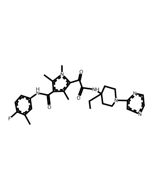 CCC1(NC(=O)C(=O)c2c(C)c(C(=O)Nc3ccc(F)c(C)c3)c(C)n2C)CCN(c2cnccn2)CC1